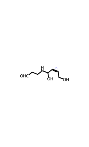 O=CCCNC(O)/C=C\CO